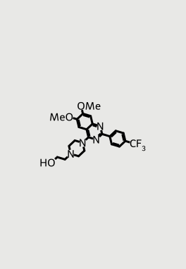 COc1cc2nc(-c3ccc(C(F)(F)F)cc3)nc(N3CCN(CCO)CC3)c2cc1OC